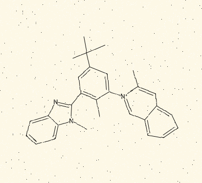 Cc1c(-c2nc3ccccc3n2C)cc(C(C)(C)C)cc1-[n+]1cc2ccccc2cc1C